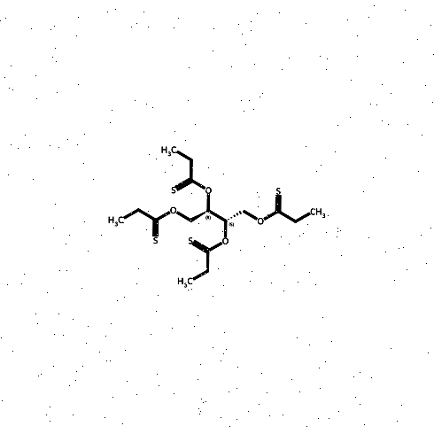 CCC(=S)OC[C@H](OC(=S)CC)[C@@H](COC(=S)CC)OC(=S)CC